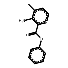 Cc1ccnc(C(=O)Oc2ccccc2)c1N